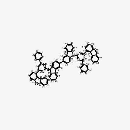 c1ccc(-c2cc(-c3cccc4oc5ccccc5c34)nc(-n3c4ccccc4c4cc(-c5ccc6c(c5)c5ccccc5n6-c5nc(-c6ccccc6)nc(-c6cccc7oc8ccccc8c67)n5)ccc43)n2)cc1